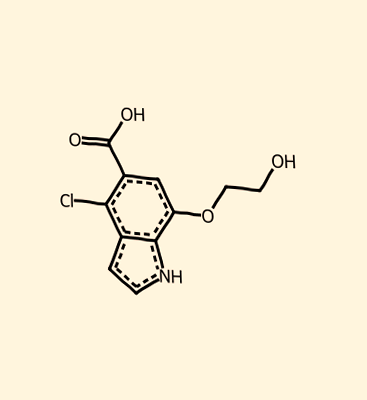 O=C(O)c1cc(OCCO)c2[nH]ccc2c1Cl